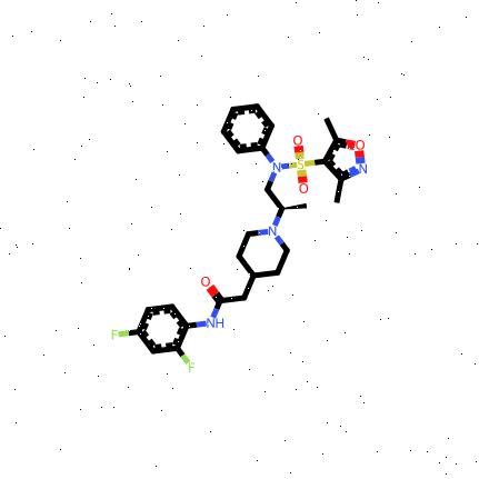 Cc1noc(C)c1S(=O)(=O)N(C[C@@H](C)N1CCC(CC(=O)Nc2ccc(F)cc2F)CC1)c1ccccc1